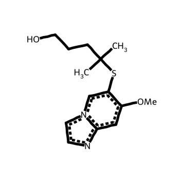 COc1cc2nccn2cc1SC(C)(C)CCCO